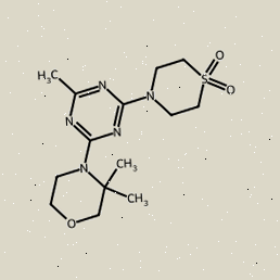 Cc1nc(N2CCS(=O)(=O)CC2)nc(N2CCOCC2(C)C)n1